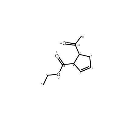 CCOC(=O)C1C=CCC1C(C)=O